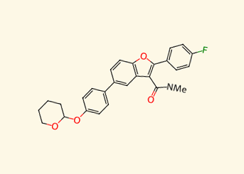 CNC(=O)c1c(-c2ccc(F)cc2)oc2ccc(-c3ccc(OC4CCCCO4)cc3)cc12